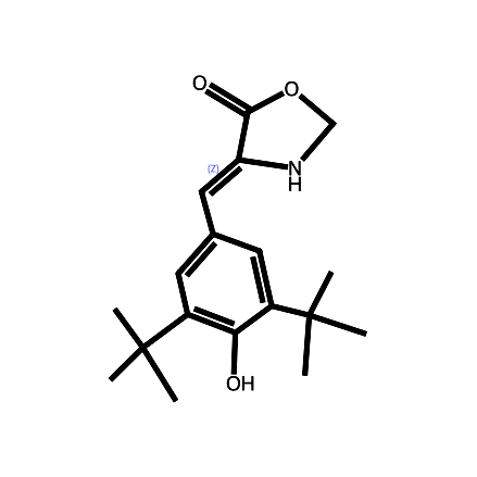 CC(C)(C)c1cc(/C=C2\NCOC2=O)cc(C(C)(C)C)c1O